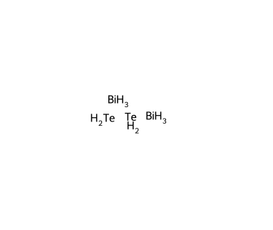 [BiH3].[BiH3].[TeH2].[TeH2]